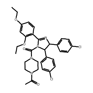 CCOc1ccc(C2=NC(c3ccc(Cl)cc3)C(c3ccc(Cl)cc3)N2C(=O)N2CCN(C(C)=O)CC2)c(OCC)c1